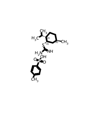 CC(C)[C@@H]1CC[C@@H](C)C[C@@H]1SC(=N)N.Cc1ccc(S(=O)(=O)O)cc1